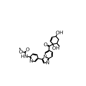 COC(=O)Nc1ccc(-c2cnc3ccc(C(=O)C4(O)C=CC(O)CC4C)cn23)cn1